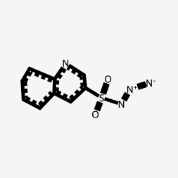 [N-]=[N+]=NS(=O)(=O)c1cnc2ccccc2c1